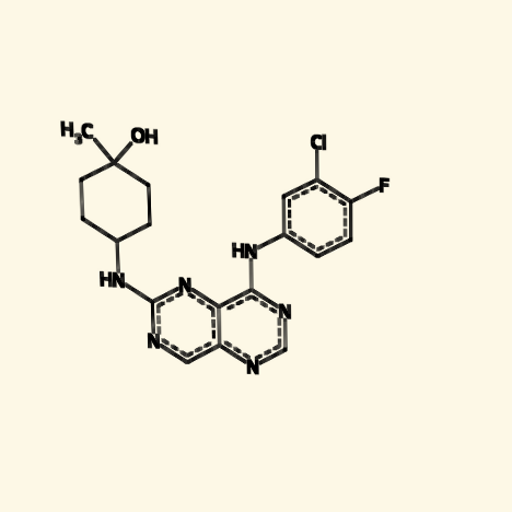 CC1(O)CCC(Nc2ncc3ncnc(Nc4ccc(F)c(Cl)c4)c3n2)CC1